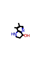 Cc1cnc2c(c1C)NCCC2O